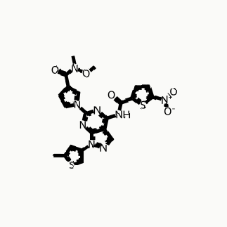 CON(C)C(=O)c1ccn(-c2nc(NC(=O)c3ccc([N+](=O)[O-])s3)c3cnn(-c4csc(C)c4)c3n2)c1